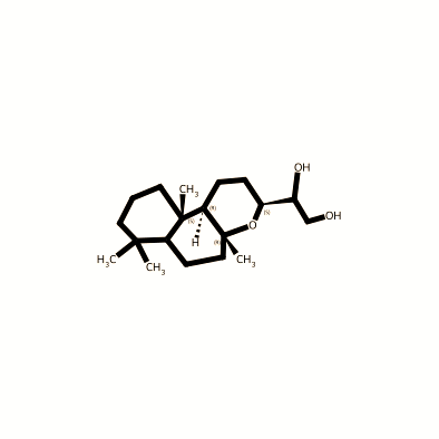 CC1(C)CCC[C@@]2(C)C1CC[C@@]1(C)O[C@H](C(O)CO)CC[C@@H]12